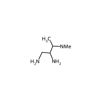 CNC(C)C(N)CN